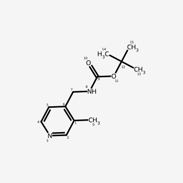 Cc1cnccc1CNC(=O)OC(C)(C)C